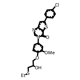 CCSCC(O)COc1ccc(-n2cnc3cc(-c4ccc(Cl)cc4)sc3c2=O)cc1OC